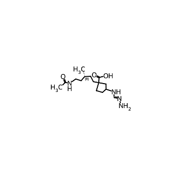 CC(=O)NCC[C@H](C)CCC1(C(=O)O)CCC(NC=NN)C1